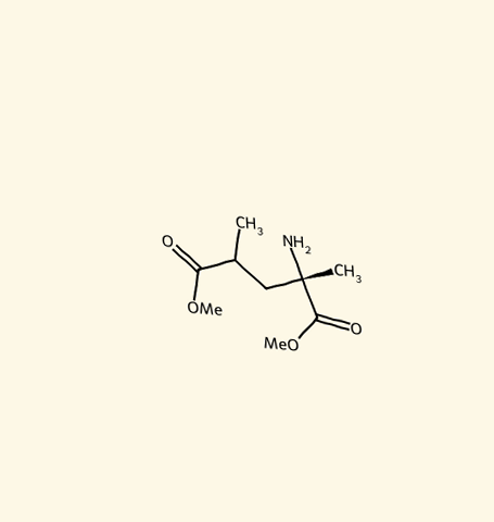 COC(=O)C(C)C[C@](C)(N)C(=O)OC